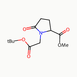 COC(=O)C1CCC(=O)N1CC(=O)OC(C)(C)C